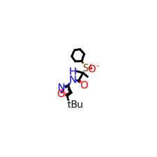 CC(C)(C)c1cc(NC(=O)C(C)(C)[S+]([O-])C2CCCCC2)no1